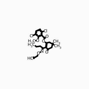 C#CCON=C(CCC)C1=C(OC(=O)c2c(Cl)ccc(Cl)c2OC)CC(C)(C)CC1=O